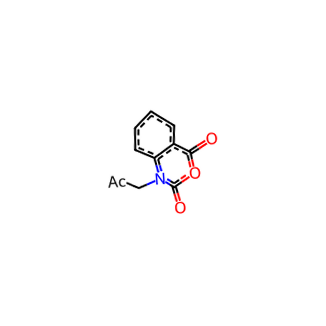 CC(=O)Cn1c(=O)oc(=O)c2ccccc21